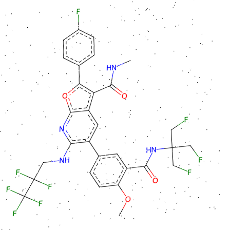 CNC(=O)c1c(-c2ccc(F)cc2)oc2nc(NCC(F)(F)C(F)(F)F)c(-c3ccc(OC)c(C(=O)NC(CF)(CF)CF)c3)cc12